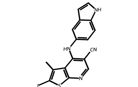 Cc1c(I)sc2ncc(C#N)c(Nc3ccc4[nH]ccc4c3)c12